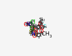 CC(=O)c1cccc(S(=O)(=O)N2CCS[C@H]2C(=O)O[C@@H](Cc2c(Cl)c[n+]([O-])cc2Cl)c2ccc(OC(F)F)c(OCC3CC3)c2)c1